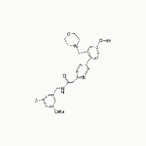 CCOc1ccc(-c2ccc(CC(=O)NCc3cc(F)cc(OCC(C)C)c3)nc2)c(CN2CCOCC2)c1